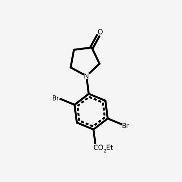 CCOC(=O)c1cc(Br)c(N2CCC(=O)C2)cc1Br